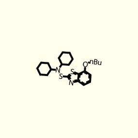 CCCCOc1cccc2nc(SN(C3CCCCC3)C3CCCCC3)sc12